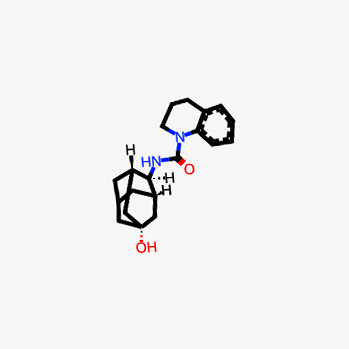 O=C(N[C@H]1[C@@H]2CC3C[C@H]1C[C@](O)(C3)C2)N1CCCc2ccccc21